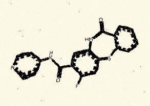 O=C(Nc1ccncc1)c1cc2c(cc1F)Sc1ccccc1C(=O)N2